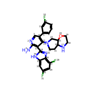 Nc1ncc(-c2cccc(F)c2)c(N2CCC3NCCOC3C2)c1-c1nc2c(F)cc(F)cc2[nH]1